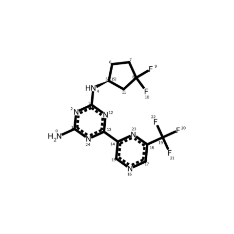 Nc1nc(N[C@H]2CCC(F)(F)C2)nc(-c2cncc(C(F)(F)F)n2)n1